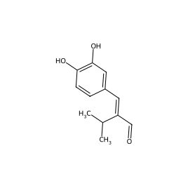 CC(C)/C(C=O)=C\c1ccc(O)c(O)c1